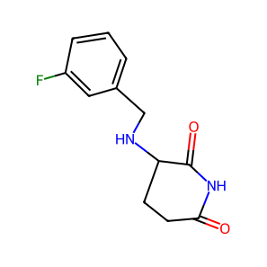 O=C1CCC(NCc2cccc(F)c2)C(=O)N1